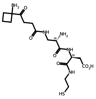 BC1(C(=O)CCC(=O)NC[C@H](N)C(=O)N[C@@H](CC(=O)O)C(=O)NCCS)CCC1